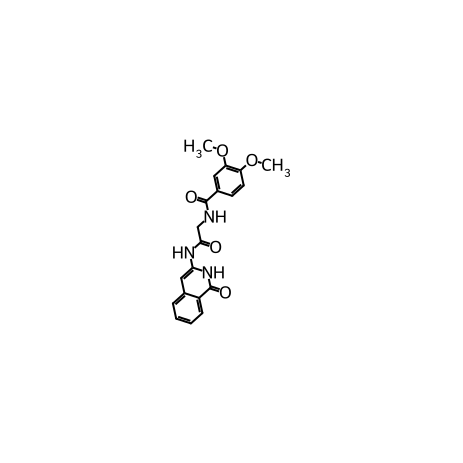 COc1ccc(C(=O)NCC(=O)Nc2cc3ccccc3c(=O)[nH]2)cc1OC